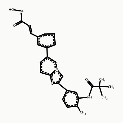 Cc1ccc(-c2cn3nc(-c4cccc(C=CC(=O)NO)c4)ccc3n2)cc1NC(=O)C(C)(C)C